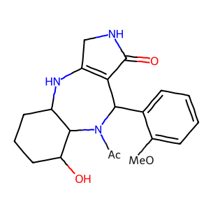 COc1ccccc1C1C2=C(CNC2=O)NC2CCCC(O)C2N1C(C)=O